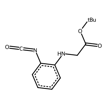 CC(C)(C)OC(=O)CNc1ccccc1N=C=O